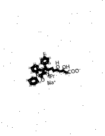 CC(C)n1c(CCC(O)CC(O)CC(=O)[O-])c(-c2ccc(F)cc2)c2c3ccccc3n(-c3ccccc3)c(=O)c21.[Na+]